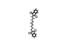 O=C1c2ccccc2C(=O)N1CCCCOCCCCN1C(=O)c2ccccc2C1=O